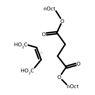 CCCCCCCCOC(=O)CCC(=O)OCCCCCCCC.O=C(O)/C=C\C(=O)O